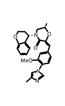 COc1cc(C=C2O[C@H](C)CN([C@H]3CCOc4ccccc43)C2=O)ccc1-n1cnc(C)c1